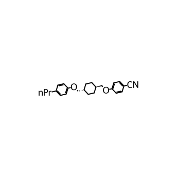 CCCc1ccc(OC[C@H]2CC[C@H](COc3ccc(C#N)cc3)CC2)cc1